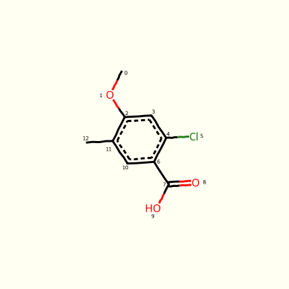 COc1cc(Cl)c(C(=O)O)cc1C